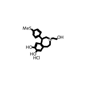 CSc1ccc(C2CN(CCO)CCc3cc(O)c(O)cc32)cc1.Cl